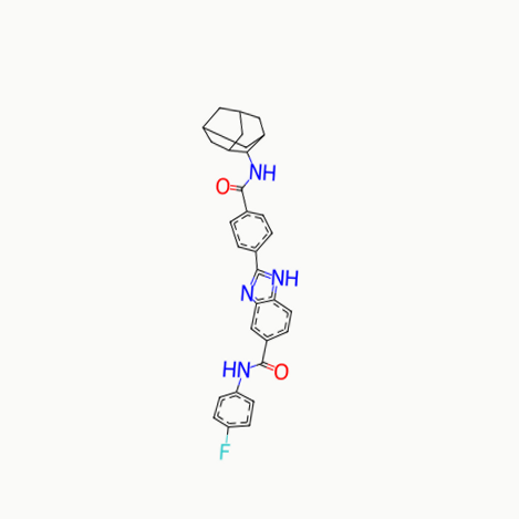 O=C(Nc1ccc(F)cc1)c1ccc2[nH]c(-c3ccc(C(=O)NC4C5CC6CC(C5)CC4C6)cc3)nc2c1